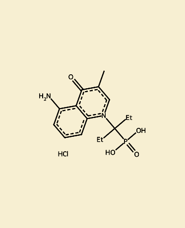 CCC(CC)(n1cc(C)c(=O)c2c(N)cccc21)P(=O)(O)O.Cl